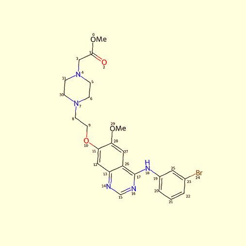 COC(=O)CN1CCN(CCOc2cc3ncnc(Nc4cccc(Br)c4)c3cc2OC)CC1